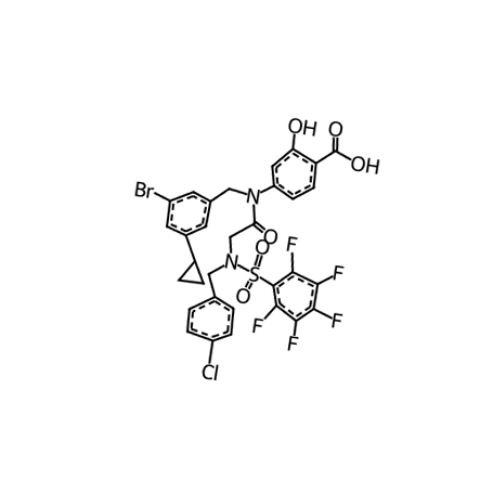 O=C(O)c1ccc(N(Cc2cc(Br)cc(C3CC3)c2)C(=O)CN(Cc2ccc(Cl)cc2)S(=O)(=O)c2c(F)c(F)c(F)c(F)c2F)cc1O